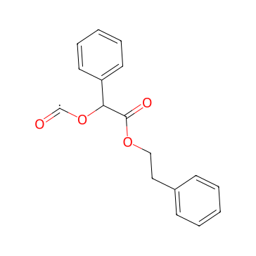 O=[C]OC(C(=O)OCCc1ccccc1)c1ccccc1